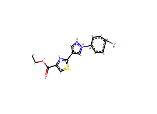 CCOC(=O)c1csc(-c2cnn(-c3ccc(Br)cc3)c2)n1